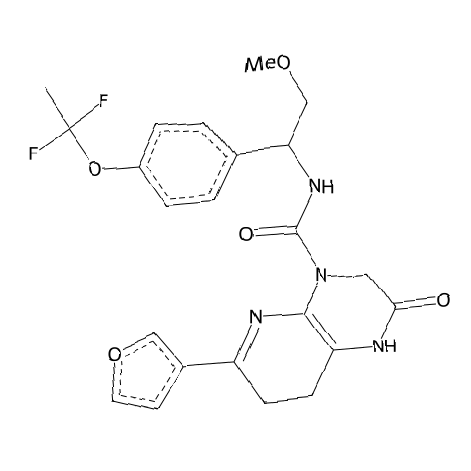 COCC(NC(=O)N1CC(=O)NC2=C1N=C(c1ccoc1)CC2)c1ccc(OC(C)(F)F)cc1